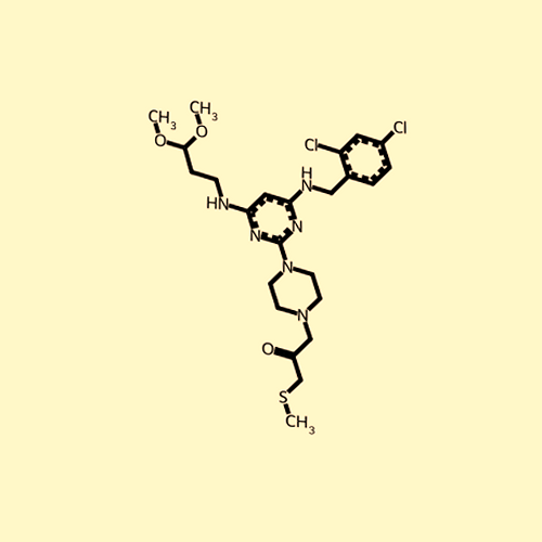 COC(CCNc1cc(NCc2ccc(Cl)cc2Cl)nc(N2CCN(CC(=O)CSC)CC2)n1)OC